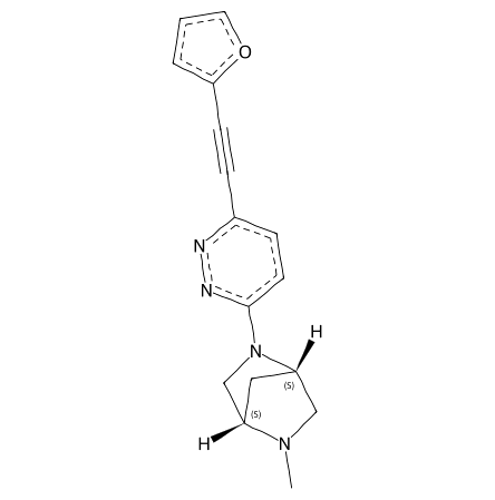 CN1C[C@@H]2C[C@H]1CN2c1ccc(C#Cc2ccco2)nn1